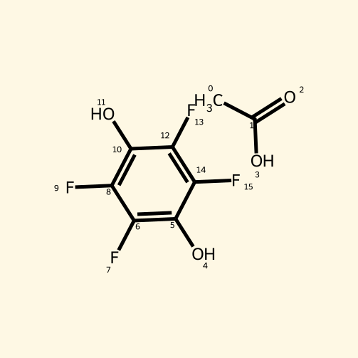 CC(=O)O.Oc1c(F)c(F)c(O)c(F)c1F